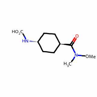 CON(C)C(=O)[C@H]1CC[C@H](NC(=O)O)CC1